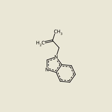 C=C(C)Cn1cnc2ccccc21